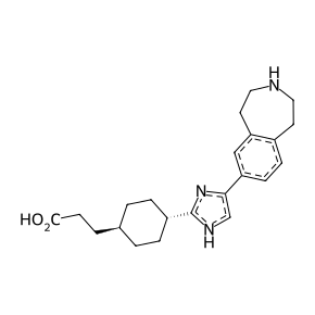 O=C(O)CC[C@H]1CC[C@H](c2nc(-c3ccc4c(c3)CCNCC4)c[nH]2)CC1